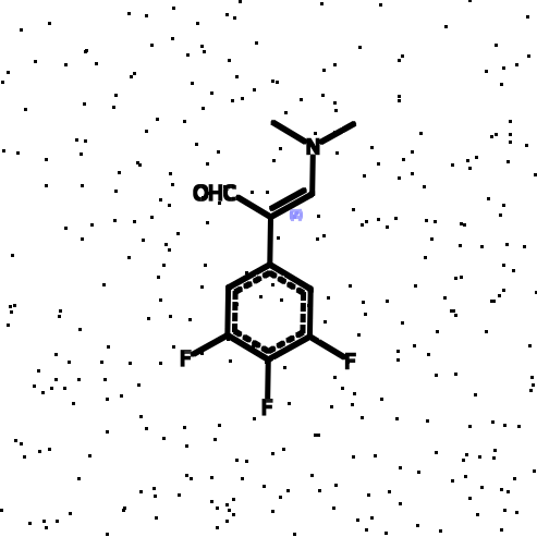 CN(C)/C=C(\C=O)c1cc(F)c(F)c(F)c1